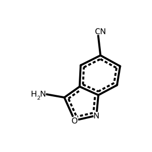 N#Cc1ccc2noc(N)c2c1